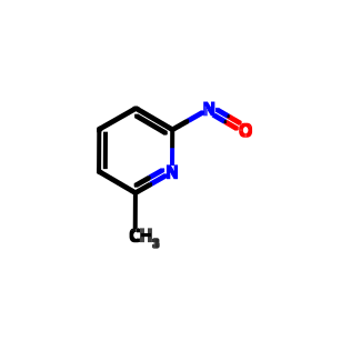 Cc1cccc(N=O)n1